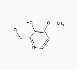 COc1ccnc(C[O])c1O